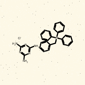 Nc1nc(N)nc(N)n1.[Cl-].c1ccc(C[P+](c2ccccc2)(c2ccccc2)c2ccccc2)cc1